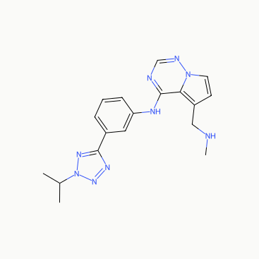 CNCc1ccn2ncnc(Nc3cccc(-c4nnn(C(C)C)n4)c3)c12